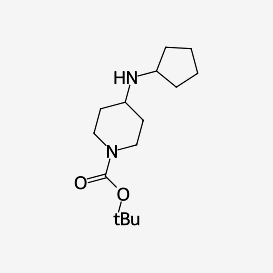 CC(C)(C)OC(=O)N1CCC(NC2CCCC2)CC1